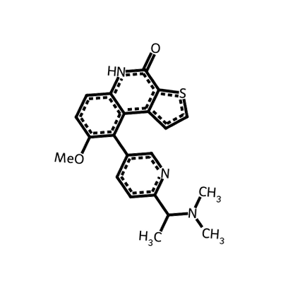 COc1ccc2[nH]c(=O)c3sccc3c2c1-c1ccc(C(C)N(C)C)nc1